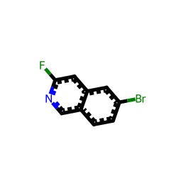 Fc1cc2cc(Br)ccc2cn1